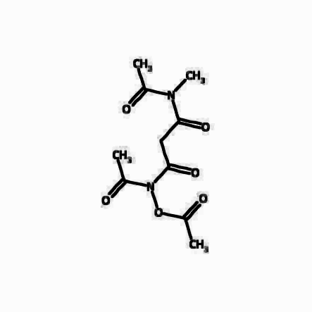 CC(=O)ON(C(C)=O)C(=O)CC(=O)N(C)C(C)=O